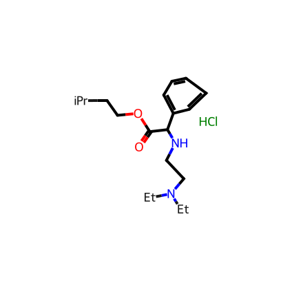 CCN(CC)CCNC(C(=O)OCCC(C)C)c1ccccc1.Cl